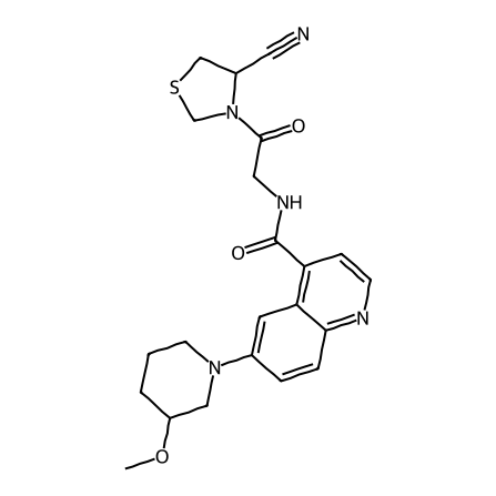 COC1CCCN(c2ccc3nccc(C(=O)NCC(=O)N4CSCC4C#N)c3c2)C1